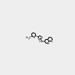 Cc1cccc(-c2cnc(Nc3cnc4ncccc4c3)s2)n1